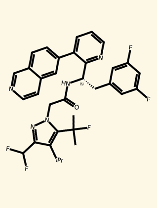 CC(C)c1c(C(F)F)nn(CC(=O)N[C@@H](Cc2cc(F)cc(F)c2)c2ncccc2-c2ccc3cnccc3c2)c1C(C)(C)F